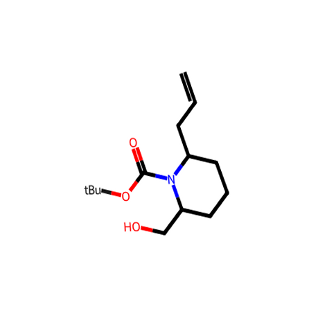 C=CCC1CCCC(CO)N1C(=O)OC(C)(C)C